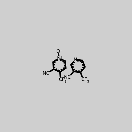 N#Cc1c[n+]([O-])ccc1C(F)(F)F.N#Cc1cnccc1C(F)(F)F